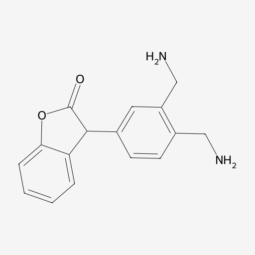 NCc1ccc(C2C(=O)Oc3ccccc32)cc1CN